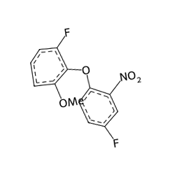 COc1cccc(F)c1Oc1ccc(F)cc1[N+](=O)[O-]